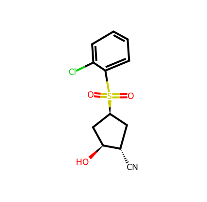 N#C[C@H]1C[C@H](S(=O)(=O)c2ccccc2Cl)C[C@@H]1O